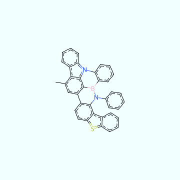 Cc1cc2c3c4c1c1ccccc1n4-c1ccccc1B3N(c1ccccc1)c1c-2ccc2sc3ccccc3c12